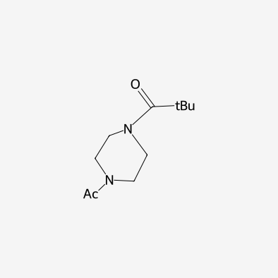 CC(=O)N1CCN(C(=O)C(C)(C)C)CC1